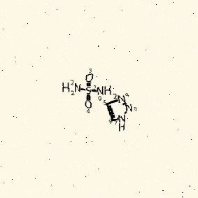 NS(N)(=O)=O.c1c[nH]nn1